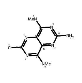 CNc1nc(Cl)nc2c(NC)nc(N)nc12